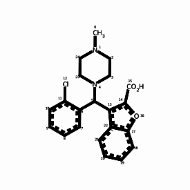 CN1CCN(C(c2ccccc2Cl)c2c(C(=O)O)oc3ccccc23)CC1